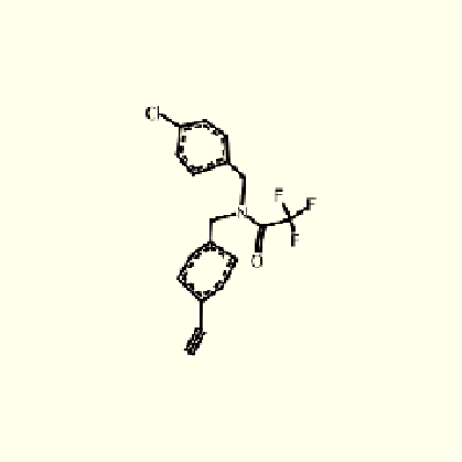 C#Cc1ccc(CN(Cc2ccc(Cl)cc2)C(=O)C(F)(F)F)cc1